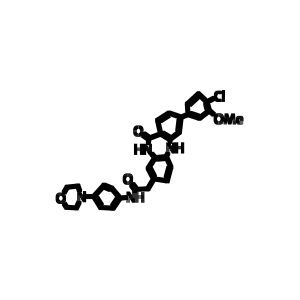 COc1cc(-c2ccc3c(c2)Nc2ccc(CC(=O)Nc4ccc(N5CCOCC5)cc4)cc2NC3=O)ccc1Cl